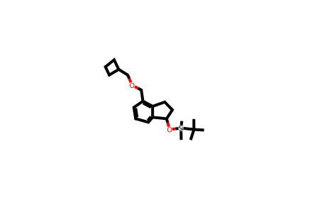 CC(C)(C)[Si](C)(C)OC1CCc2c(COCC3CCC3)cccc21